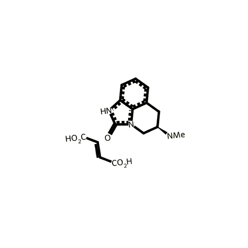 CN[C@@H]1Cc2cccc3[nH]c(=O)n(c23)C1.O=C(O)C=CC(=O)O